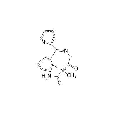 C[N+]1(C(N)=O)C(=O)[CH]N=C(c2ccccn2)c2ccccc21